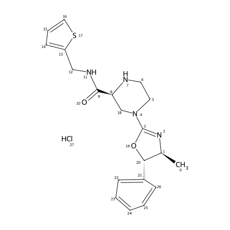 C[C@@H]1N=C(N2CCN[C@H](C(=O)NCc3cccs3)C2)O[C@H]1c1ccccc1.Cl